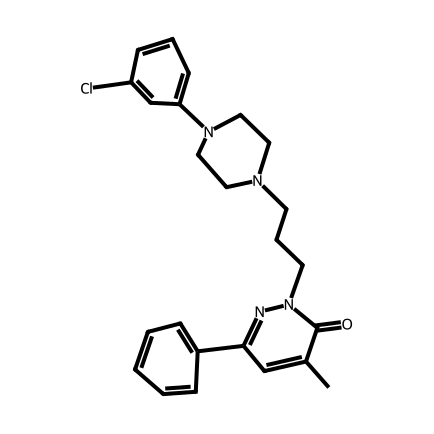 Cc1cc(-c2ccccc2)nn(CCCN2CCN(c3cccc(Cl)c3)CC2)c1=O